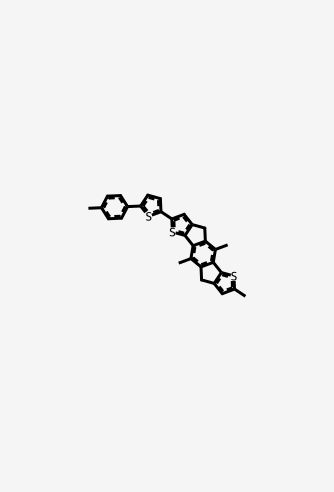 Cc1ccc(-c2ccc(-c3cc4c(s3)-c3c(C)c5c(c(C)c3C4)-c3sc(C)cc3C5)s2)cc1